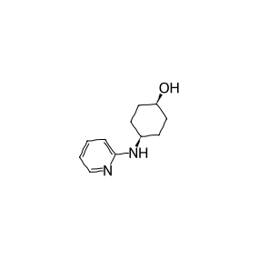 O[C@H]1CC[C@@H](Nc2ccccn2)CC1